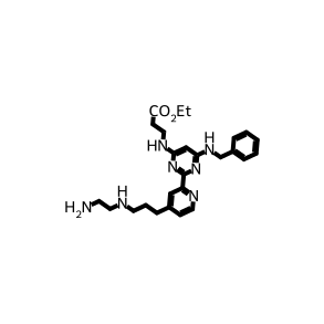 CCOC(=O)CCNc1cc(NCc2ccccc2)nc(-c2cc(CCCNCCN)ccn2)n1